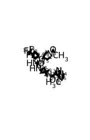 CC(=O)N1CCC(Oc2ccc(C(F)(F)F)cc2NC(=O)NC2CC3(C2)CN(C(=O)c2cnn4ccn(C)c24)C3)CC1